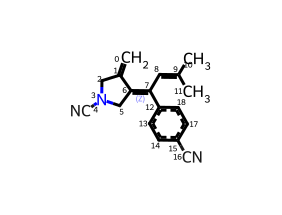 C=C1CN(C#N)C/C1=C(/C=C(C)C)c1ccc(C#N)cc1